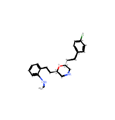 CNc1ccccc1CC[C@@H]1CNC[C@@H](CCc2ccc(Cl)cc2)O1